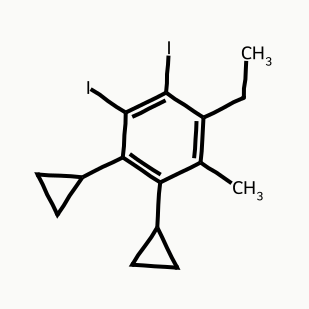 CCc1c(C)c(C2CC2)c(C2CC2)c(I)c1I